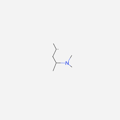 C[CH]CC(C)N(C)C